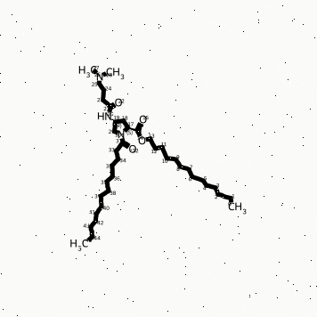 CCCCCCCCCCCCCCOC(=O)[C@@H]1C[C@@H](NC(=O)CCCN(C)C)CN1C(=O)CCCCCCCCCCCCC